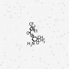 CCn1nc(C(F)(F)F)cc1C(=O)N1CC2(C=C(N)C(=O)C(C)(C)C2)C1